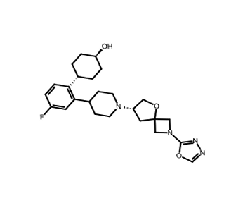 O[C@H]1CC[C@H](c2ccc(F)cc2C2CCN([C@@H]3COC4(C3)CN(c3nnco3)C4)CC2)CC1